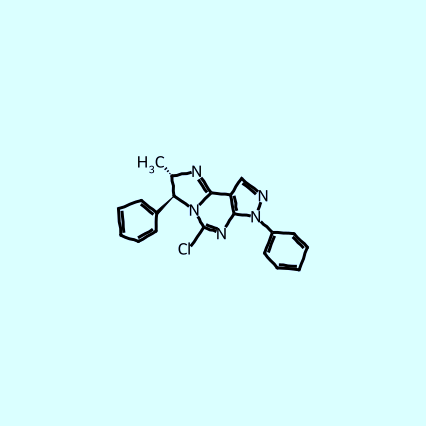 C[C@@H]1N=C2c3cnn(-c4ccccc4)c3N=C(Cl)N2[C@H]1c1ccccc1